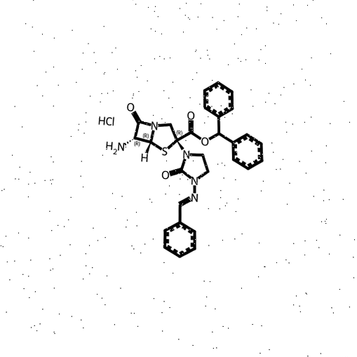 Cl.N[C@@H]1C(=O)N2C[C@@](C(=O)OC(c3ccccc3)c3ccccc3)(N3CCN(N=Cc4ccccc4)C3=O)S[C@H]12